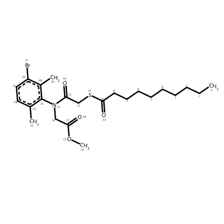 CCCCCCCCCC(=O)SCC(=O)N(CC(=O)OC)c1c(C)ccc(Br)c1C